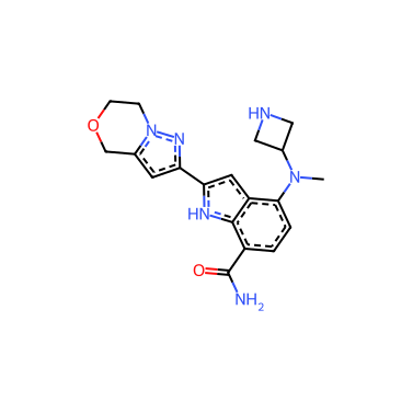 CN(c1ccc(C(N)=O)c2[nH]c(-c3cc4n(n3)CCOC4)cc12)C1CNC1